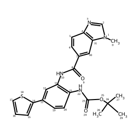 Cn1cnc2ccc(C(=O)Nc3cc(-c4cccs4)ccc3NC(=O)OC(C)(C)C)cc21